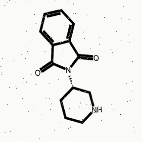 O=C1c2ccccc2C(=O)N1[C@H]1CCCNC1